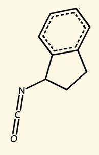 O=C=NC1CCc2c[c]ccc21